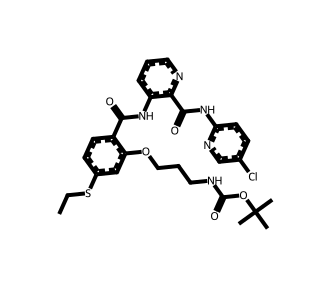 CCSc1ccc(C(=O)Nc2cccnc2C(=O)Nc2ccc(Cl)cn2)c(OCCCNC(=O)OC(C)(C)C)c1